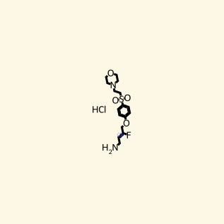 Cl.NC/C=C(\F)COc1ccc(S(=O)(=O)CCN2CCOCC2)cc1